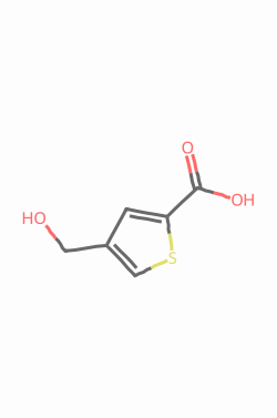 O=C(O)c1cc(CO)cs1